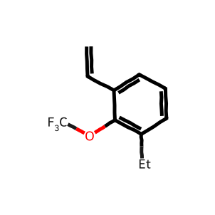 C=Cc1cccc(CC)c1OC(F)(F)F